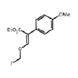 CCOC(=O)C(=COCF)c1ccc(OC)cc1